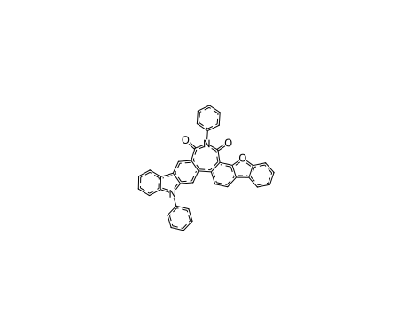 O=c1c2cc3c4ccccc4n(-c4ccccc4)c3cc2c2ccc3c4ccccc4oc3c2c(=O)n1-c1ccccc1